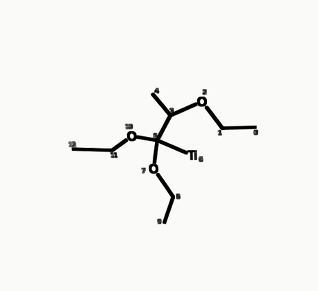 CCOC(C)[C]([Ti])(OCC)OCC